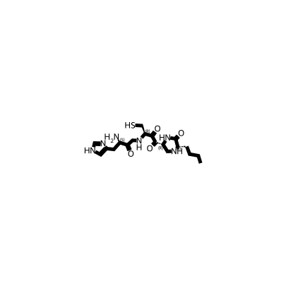 CCCC[C@@H]1NC[C@H](C(=O)C(=O)[C@H](CS)NCC(=O)[C@@H](N)Cc2c[nH]cn2)NC1=O